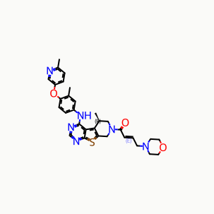 Cc1ccc(Oc2ccc(Nc3ncnc4sc5c(c34)[C@@H](C)CN(C(=O)/C=C/CN3CCOCC3)C5)cc2C)cn1